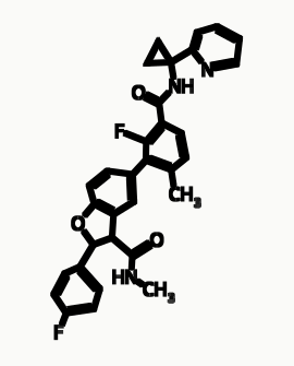 CNC(=O)C1c2cc(-c3c(C)ccc(C(=O)NC4(c5ccccn5)CC4)c3F)ccc2OC1c1ccc(F)cc1